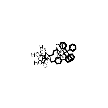 CCCCc1nc(C(C)(C)O)c(C(=O)O)n1Cc1ccc(-c2ccccc2C2(C(c3ccccc3)(c3ccccc3)c3ccccc3)N=NN=N2)cc1